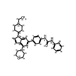 O=C(Nc1ccc(-c2nc(N3CCOCC3)c3cnn(C4CCN(CC(F)(F)F)CC4)c3n2)cc1)Nc1ccccn1